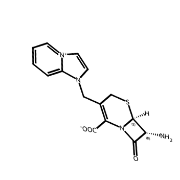 N[C@@H]1C(=O)N2C(C(=O)[O-])=C(Cn3cc[n+]4ccccc34)CS[C@@H]12